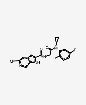 O=C(N[C@@H](Cc1ccc(F)cc1)C(=O)NC1CC1)c1cc2cc(Cl)ncc2[nH]1